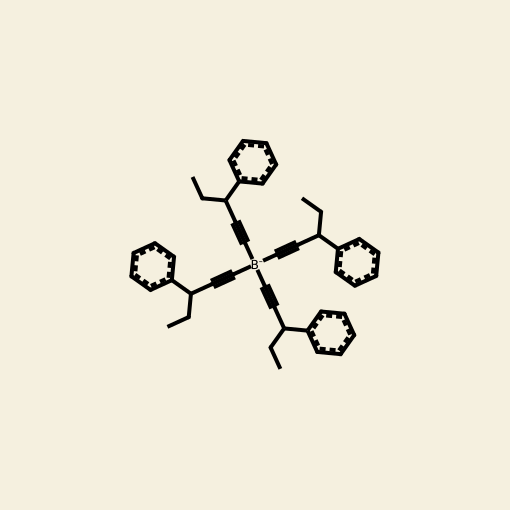 CCC(C#C[B-](C#CC(CC)c1ccccc1)(C#CC(CC)c1ccccc1)C#CC(CC)c1ccccc1)c1ccccc1